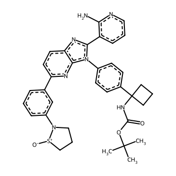 CC(C)(C)OC(=O)NC1(c2ccc(-n3c(-c4cccnc4N)nc4ccc(-c5cccc(N6CCC[S+]6[O-])c5)nc43)cc2)CCC1